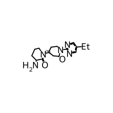 CCc1cnc(N2CC[C@H](N3CCCC(N)C3=O)CC2=O)nc1